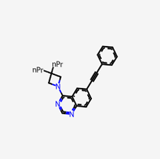 CCCC1(CCC)CN(c2ncnc3ccc(C#Cc4ccccc4)cc23)C1